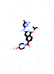 Cc1cc(Nc2cc3cc(C(=O)N4CCC(O)CC4)ccc3c(OC(C)C)n2)n[nH]1